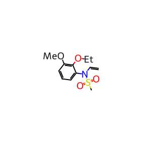 C=CN(c1cccc(OC)c1OCC)S(C)(=O)=O